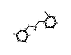 Cc1ccccc1CNCc1ccccc1